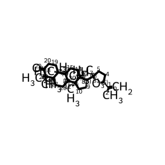 C=C(C)[C@@H]1CC[C@@](C)([C@H]2CC[C@]3(C)[C@@H]2CC[C@@H]2[C@@]4(C)CCC(=O)C(C)(C)[C@@H]4CC[C@]23C)O1